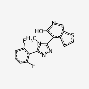 Cn1c(-c2c(F)cccc2F)nnc1-c1c(O)ncc2sccc12